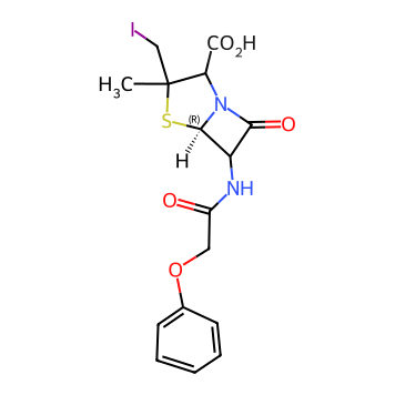 CC1(CI)S[C@@H]2C(NC(=O)COc3ccccc3)C(=O)N2C1C(=O)O